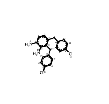 Nc1ccc(Cc2ccc(Cl)cc2)c(Cc2ccc(Cl)cc2)c1N